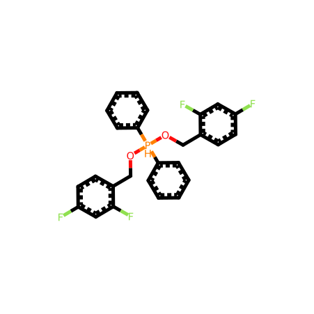 Fc1ccc(CO[PH](OCc2ccc(F)cc2F)(c2ccccc2)c2ccccc2)c(F)c1